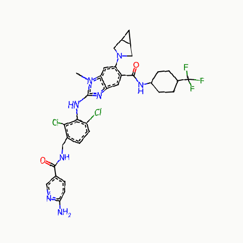 Cn1c(Nc2c(Cl)ccc(CNC(=O)c3ccc(N)nc3)c2Cl)nc2cc(C(=O)NC3CCC(C(F)(F)F)CC3)c(N3CC4CC4C3)cc21